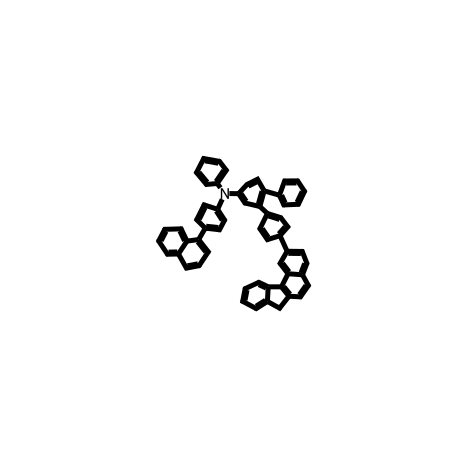 c1ccc(-c2ccc(N(c3ccccc3)c3ccc(-c4cccc5ccccc45)cc3)cc2-c2ccc(-c3ccc4ccc5c(c4c3)-c3ccccc3C5)cc2)cc1